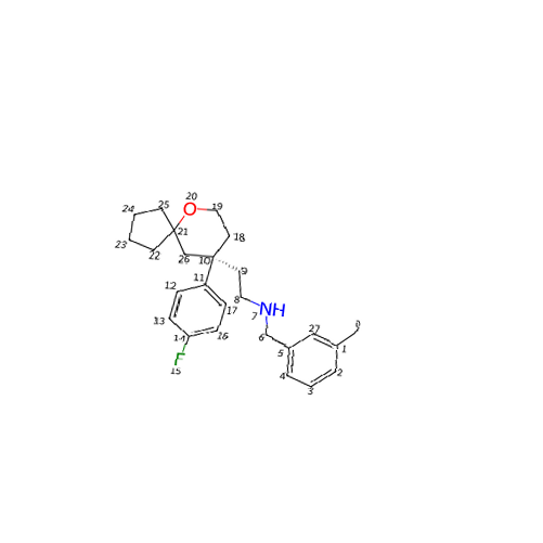 Cc1cccc(CNCC[C@@]2(c3ccc(F)cc3)CCOC3(CCCC3)C2)c1